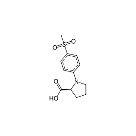 CS(=O)(=O)c1ccc(N2CCC[C@H]2C(=O)O)cc1